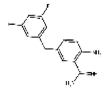 N=C(N)c1cc(Cc2cc(F)cc(F)c2)ccc1N